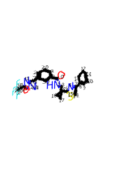 O=C(NCC1(c2nc(-c3ccccc3)cs2)CC1)c1cccc(-c2noc(C(F)(F)F)n2)c1